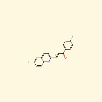 O=C(/C=C/c1ccc2cc(F)ccc2n1)c1ccc(F)cc1